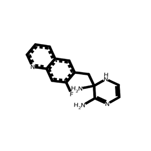 NC1=NC=CNC1(N)Cc1cc2cccnc2cc1F